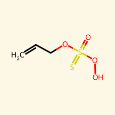 C=CCOS(=O)(=S)OO